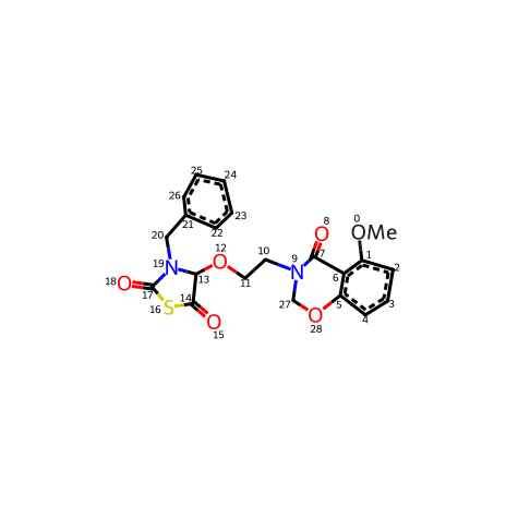 COc1cccc2c1C(=O)N(CCOC1C(=O)SC(=O)N1Cc1ccccc1)CO2